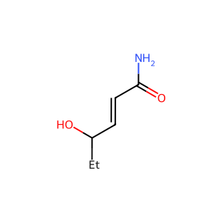 CCC(O)C=CC(N)=O